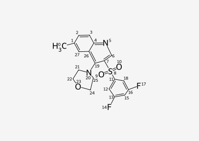 Cc1ccc2ncc(S(=O)(=O)c3cc(F)cc(F)c3)c(N3CCOCC3)c2c1